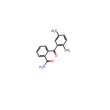 Cc1ccc(C)c(C(=O)c2ccccc2C(N)=O)c1